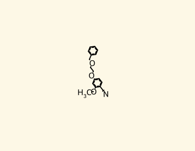 COc1cc(OCCOCc2ccccc2)ccc1C#N